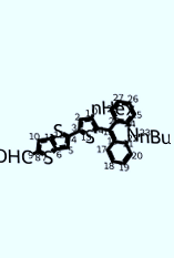 CCCCCCc1cc(-c2cc3sc(C=O)cc3s2)sc1C1=C2C=CC=CC2N(CCCC)c2ccccc21